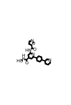 O=C(NO)c1cc(NC(=O)c2ccno2)nc(-c2ccc(-c3cccnc3)cc2)c1